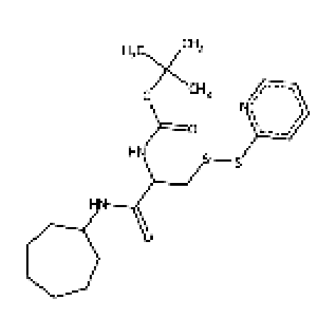 CC(C)(C)OC(=O)NC(CSSc1ccccn1)C(=O)NC1CCCCCC1